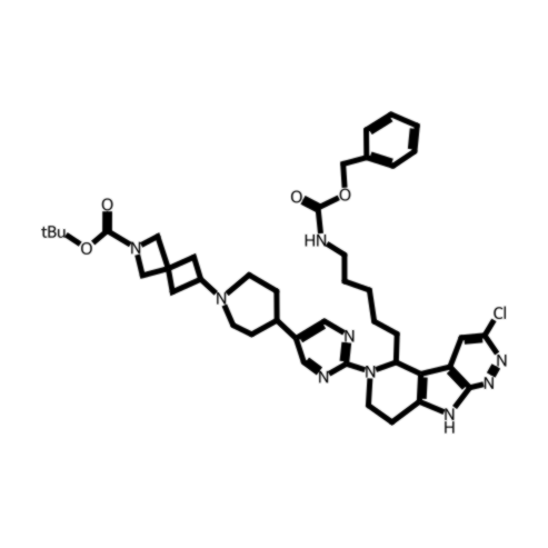 CC(C)(C)OC(=O)N1CC2(CC(N3CCC(c4cnc(N5CCc6[nH]c7nnc(Cl)cc7c6C5CCCCCNC(=O)OCc5ccccc5)nc4)CC3)C2)C1